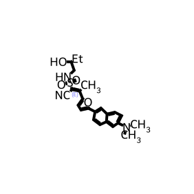 CCC(O)CNS(=O)(=O)/C(C#N)=C(\C)c1ccc(-c2ccc3cc(N(C)C)ccc3c2)o1